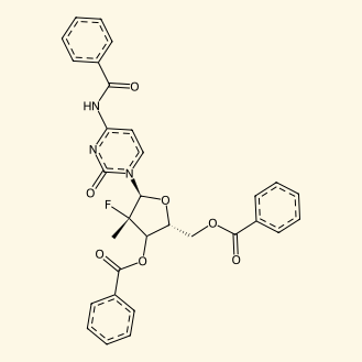 C[C@]1(F)C(OC(=O)c2ccccc2)[C@@H](COC(=O)c2ccccc2)O[C@@H]1n1ccc(NC(=O)c2ccccc2)nc1=O